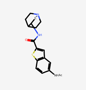 CC(=O)Nc1ccc2sc(C(=O)NC3CN4CCC3CC4)cc2c1